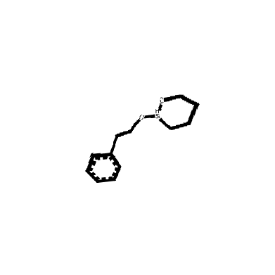 c1ccc(CCO[SiH]2CCCCO2)cc1